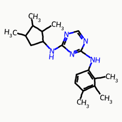 Cc1ccc(Nc2ncnc(NC3CC(C)C(C)C3C)n2)c(C)c1C